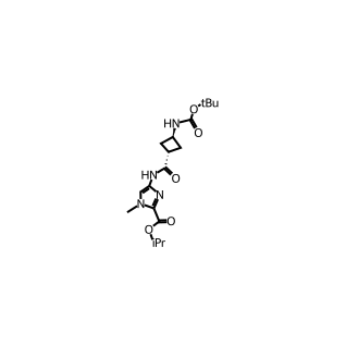 CC(C)OC(=O)c1nc(NC(=O)[C@H]2C[C@H](NC(=O)OC(C)(C)C)C2)cn1C